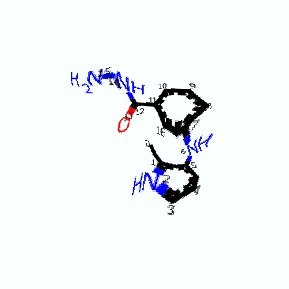 Cc1[nH]ccc1Nc1cccc(C(=O)NN)c1